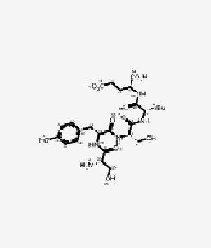 CCCC[C@H](NC(=O)[C@H](CO)NC(=O)[C@H](Cc1ccc(O)cc1)NC(=O)[C@@H](N)CO)C(=O)N[C@@H](CCC(=O)O)C(=O)O